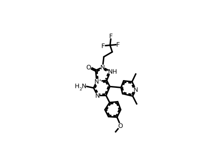 COc1ccc(-c2nc(N)[n+]3c(=O)n(CCC(F)(F)F)[nH]c3c2-c2cc(C)nc(C)c2)cc1